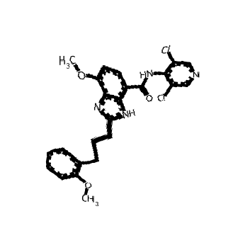 COc1ccccc1CCCc1nc2c(OC)ccc(C(=O)Nc3c(Cl)cncc3Cl)c2[nH]1